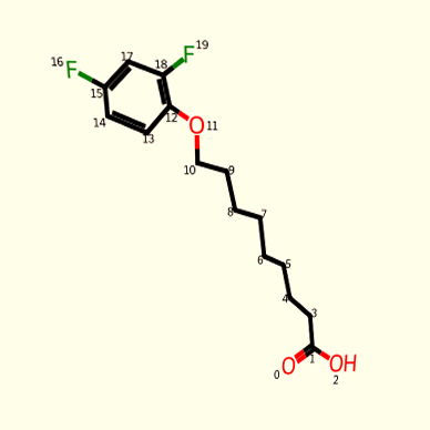 O=C(O)CCCCCCCCOc1ccc(F)cc1F